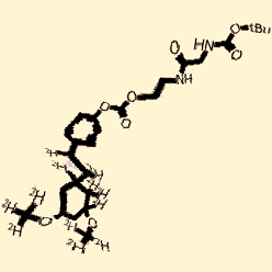 [2H]/C(=C(/[2H])C1([2H])C=C(OC([2H])([2H])[2H])CC([2H])(OC([2H])([2H])[2H])C1([2H])[2H])c1ccc(OC(=O)OCCNC(=O)CNC(=O)OC(C)(C)C)cc1